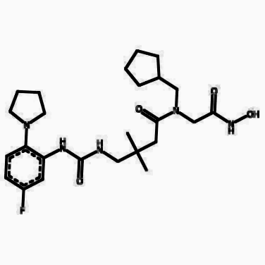 CC(C)(CNC(=O)Nc1cc(F)ccc1N1CCCC1)CC(=O)N(CC(=O)NO)CC1CCCC1